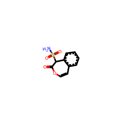 NS(=O)(=O)C1C(=O)OC=Cc2ccccc21